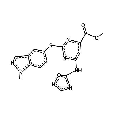 COC(=O)c1cc(Nc2ncno2)nc(Sc2ccc3[nH]ncc3c2)n1